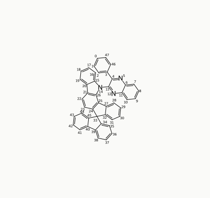 c1ccc(-c2nc3ccccc3nc2-n2c3ccccc3c3ccc4c(c32)-c2ccccc2C42c3ccccc3-c3ccccc32)cc1